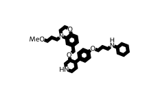 COCCCN1CCOc2ccc(COC3CNCCC3c3ccc(OCCCNC4CCCCC4)cc3)cc21